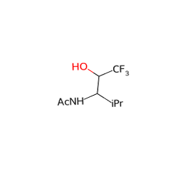 CC(=O)NC(C(C)C)C(O)C(F)(F)F